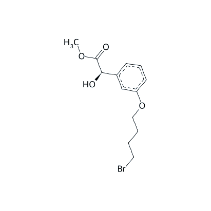 COC(=O)[C@H](O)c1cccc(OCCCCBr)c1